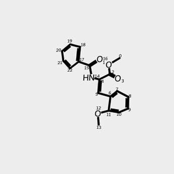 COC(=O)/C(=C\c1ccccc1OC)NC(=O)c1ccccc1